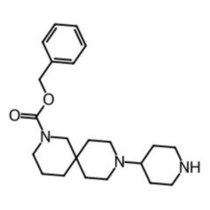 O=C(OCc1ccccc1)N1CCCC2(CCN(C3CCNCC3)CC2)C1